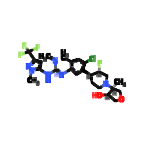 C=N/C(=N\c1cc([C@@H]2CCN([C@@]3(C)COC[C@H]3O)C[C@H]2F)c(Cl)cc1C)Nc1cc(C(F)(F)F)nn1C